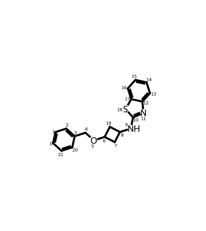 c1ccc(COC2CC(Nc3nc4ccccc4s3)C2)cc1